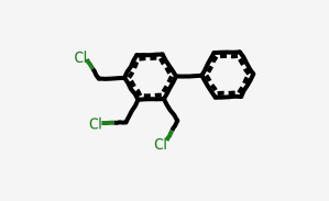 ClCc1ccc(-c2ccccc2)c(CCl)c1CCl